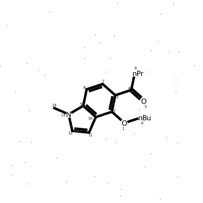 CCCCOc1c(C(=O)CCC)ccc2c1ccn2C